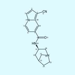 N#Cc1ccn2ccc(C(=O)N[C@@H]3CC4CCN(C4)C3)cc12